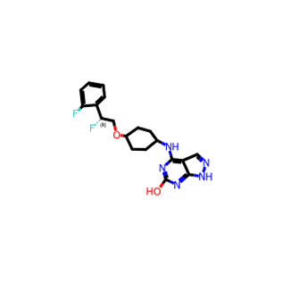 Oc1nc(NC2CCC(OC[C@H](F)c3ccccc3F)CC2)c2cn[nH]c2n1